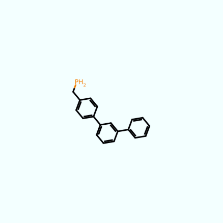 PCc1ccc(-c2cccc(-c3ccccc3)c2)cc1